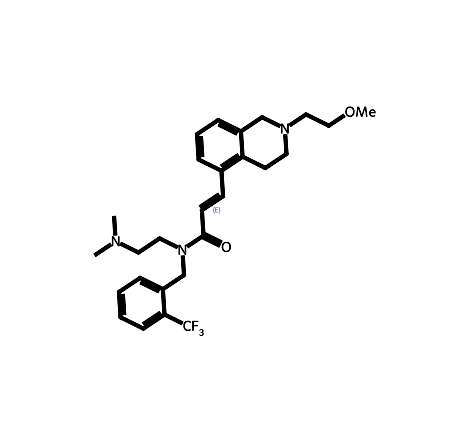 COCCN1CCc2c(/C=C/C(=O)N(CCN(C)C)Cc3ccccc3C(F)(F)F)cccc2C1